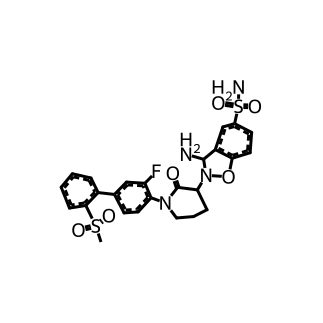 CS(=O)(=O)c1ccccc1-c1ccc(N2CCCC(N3Oc4ccc(S(N)(=O)=O)cc4C3N)C2=O)c(F)c1